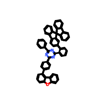 c1ccc(-c2nc(-c3ccc(-c4cccc5oc6ccccc6c45)cc3)nc(-c3ccccc3-c3ccc4c(c3)C3(c5ccccc5-c5ccccc53)c3ccccc3-4)n2)cc1